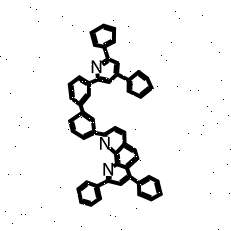 c1ccc(-c2cc(-c3ccccc3)nc(-c3cccc(-c4cccc(-c5ccc6ccc7c(-c8ccccc8)cc(-c8ccccc8)nc7c6n5)c4)c3)c2)cc1